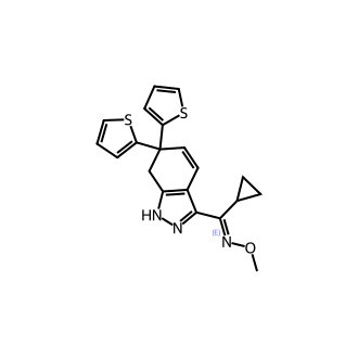 CO/N=C(/c1n[nH]c2c1C=CC(c1cccs1)(c1cccs1)C2)C1CC1